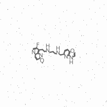 COc1ccc2ncc(F)c(CCNCCCNCc3ccc4c(n3)NC=CO4)c2n1